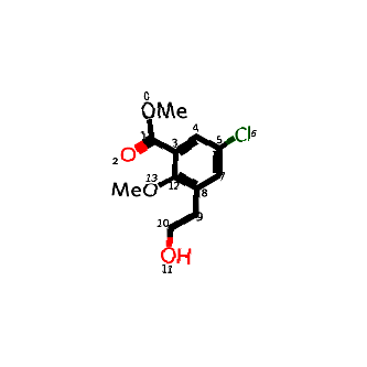 COC(=O)c1cc(Cl)cc(CCO)c1OC